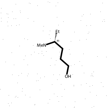 CC[C@H](CCCO)NC